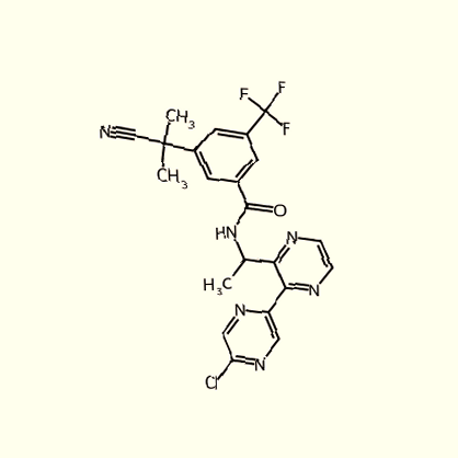 CC(NC(=O)c1cc(C(F)(F)F)cc(C(C)(C)C#N)c1)c1nccnc1-c1cnc(Cl)cn1